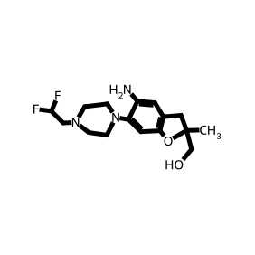 CC1(CO)Cc2cc(N)c(N3CCN(CC(F)F)CC3)cc2O1